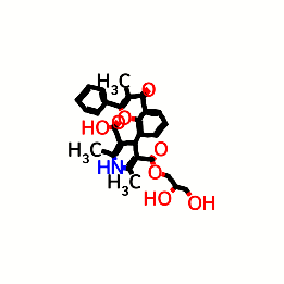 CC1=C(C(=O)O)C(c2cccc3c(=O)c(C)c(-c4ccccc4)oc23)C(C(=O)OCC(O)CO)=C(C)N1